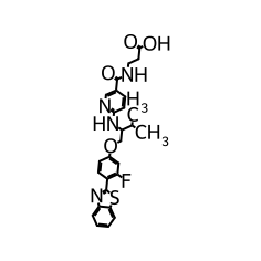 CC(C)C(COc1ccc(-c2nc3ccccc3s2)c(F)c1)Nc1ccc(C(=O)NCCC(=O)O)cn1